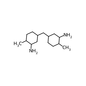 CC1CCC(CC2CCC(C)C(N)C2)CC1N